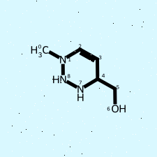 CN1C=CC(CO)NN1